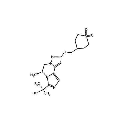 C[C@H]1Cn2nc(OCC3CCS(=O)(=O)CC3)cc2-c2cnc([C@@](C)(O)C(F)(F)F)n21